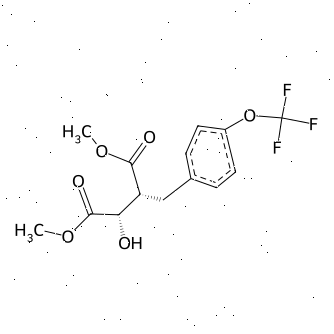 COC(=O)[C@@H](O)[C@@H](Cc1ccc(OC(F)(F)F)cc1)C(=O)OC